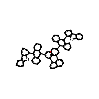 c1cc(-c2c3ccccc3c(-c3cccc4c3oc3ccccc34)c3ccccc23)cc(-c2cccc3cccc(-c4cccc(-c5c6ccccc6c(-c6cccc7c6oc6ccccc67)c6ccccc56)c4)c23)c1